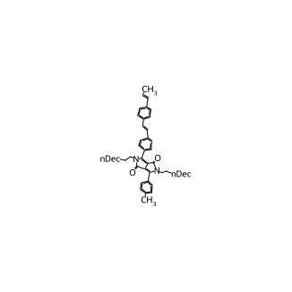 C/C=C/c1ccc(/C=C/c2ccc(C3=C4C(=O)N(CCCCCCCCCCCC)C(c5ccc(C)cc5)=C4C(=O)N3CCCCCCCCCCCC)cc2)cc1